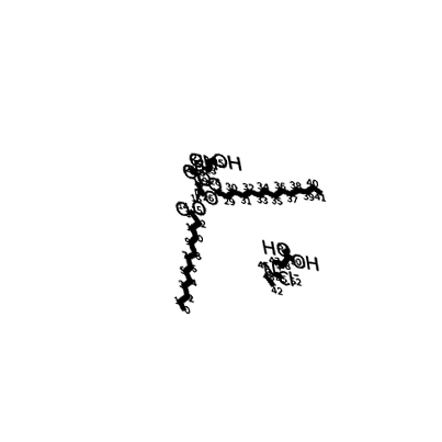 CCCCCCCCCCCCCC(=O)OC[C@H](COP(=O)(O)CCO)OC(=O)CCCCCCCCCCCCC.CC[N+](C)(C)CCC(O)O.[Cl-]